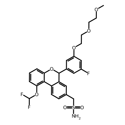 COCCOCCOc1cc(F)cc(C2Oc3cccc(OC(F)F)c3-c3ccc(CS(N)(=O)=O)cc32)c1